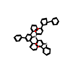 c1ccc(-c2cccc(-c3ccc(N(c4ccc5c(c4)sc4ccccc45)c4c(-c5ccccc5)cc(-c5ccccc5)cc4-c4ccccc4)cc3)c2)cc1